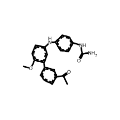 COc1ccc(Nc2ccc(NC(N)=O)cc2)cc1-c1cccc(C(C)=O)c1